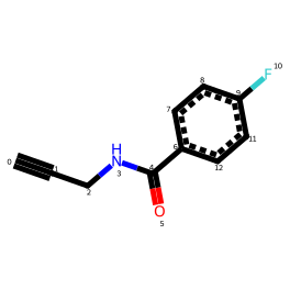 C#CCNC(=O)c1ccc(F)cc1